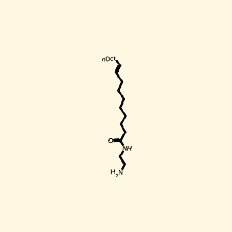 CCCCCCCCC=CCCCCCCCC(=O)NCCN